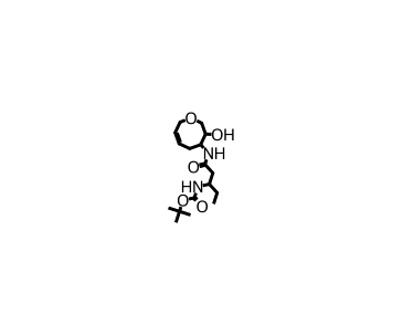 CCC(CC(=O)NC1CC=CCOCC1O)NC(=O)OC(C)(C)C